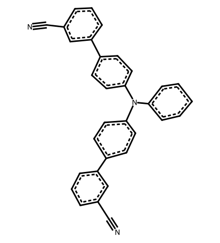 N#Cc1cccc(-c2ccc(N(c3ccccc3)c3ccc(-c4cccc(C#N)c4)cc3)cc2)c1